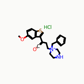 COc1ccc2scc(C(=C=O)CC[N+]3(Cc4ccccc4)CCNCC3)c2c1.Cl